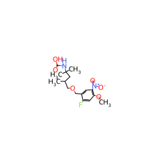 COc1cc(F)c(COCC(C)CC(C)(C)NC(=O)O)cc1[N+](=O)[O-]